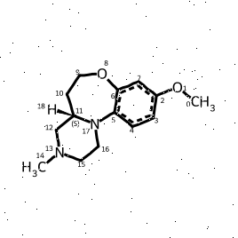 COc1ccc2c(c1)OCC[C@H]1CN(C)CCN21